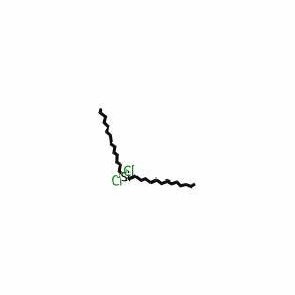 CCCCCCCCCCCCCC[Si](Cl)(Cl)CCCCCCCCCCCCCC